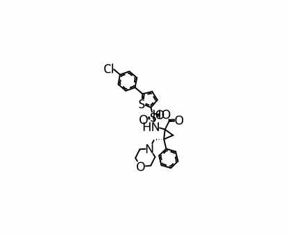 O=C(O)C1(NS(=O)(=O)c2ccc(-c3ccc(Cl)cc3)s2)C[C@@]1(CN1CCOCC1)c1ccccc1